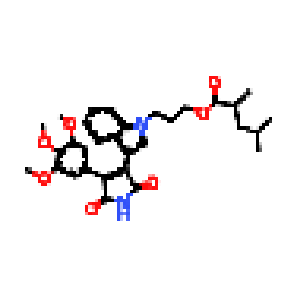 COc1cc(C2=C(c3cn(CCCOC(=O)C(C)CC(C)C)c4ccccc34)C(=O)NC2=O)cc(OC)c1OC